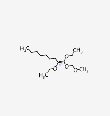 CCCCCCC/C(OCC)=C(\OCC)OCOC